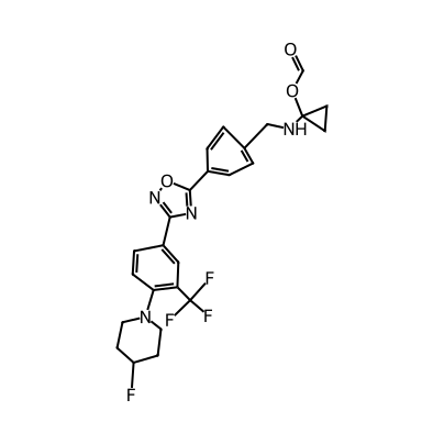 O=COC1(NCc2ccc(-c3nc(-c4ccc(N5CCC(F)CC5)c(C(F)(F)F)c4)no3)cc2)CC1